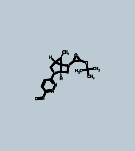 C[C@H]1[C@H]2CN(c3ccc(N=O)nn3)[C@@H]3CN(C4OC4OC(C)(C)C)C213